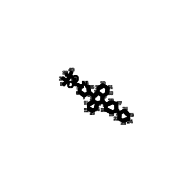 CC1(C)OB(c2ccc(-c3c4ccccc4c(-c4ccc(-c5ccccc5)cc4)c4ccccc34)cn2)OC1(C)C